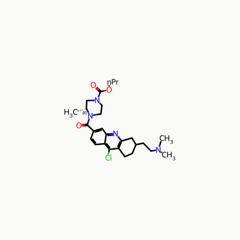 CCCOC(=O)N1CCN(C(=O)c2ccc3c(Cl)c4c(nc3c2)CC(CCN(C)C)CC4)[C@H](C)C1